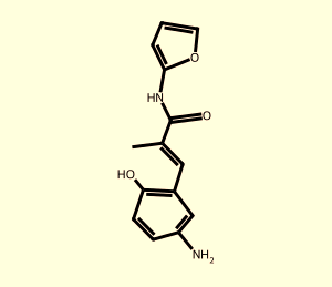 CC(=Cc1cc(N)ccc1O)C(=O)Nc1ccco1